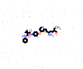 C=C/C(C=O)=C\C=C(/N)c1cc2nccc(Oc3ccc(NC(=O)C4(C(=O)Nc5ccccc5)CC4)cc3F)c2s1